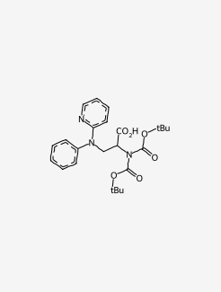 CC(C)(C)OC(=O)N(C(=O)OC(C)(C)C)C(CN(c1ccccc1)c1ccccn1)C(=O)O